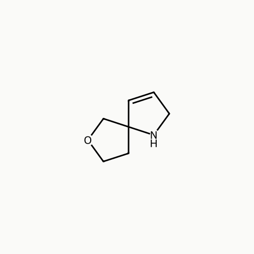 C1=CC2(CCOC2)NC1